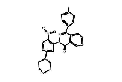 Cc1ccc(-c2nn(-c3cc(N4CCOCC4)ccc3[N+](=O)[O-])c(=O)c3ccccc23)cc1